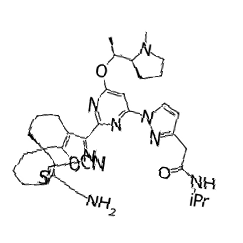 CC(C)NC(=O)Cc1ccn(-c2cc(O[C@@H](C)[C@@H]3CCCN3C)nc(-c3noc4c3CCC[C@@]43CCCc4sc(N)c(C#N)c43)n2)n1